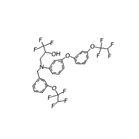 OC(CN(Cc1cccc(OC(F)(F)C(F)F)c1)c1cccc(Oc2cccc(OC(F)(F)C(F)F)c2)c1)C(F)(F)F